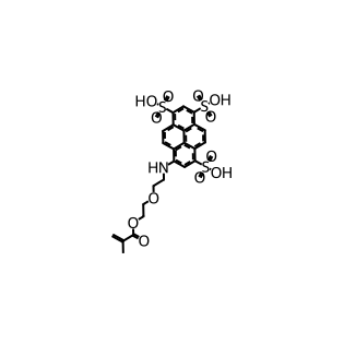 C=C(C)C(=O)OCCOCCNc1cc(S(=O)(=O)O)c2ccc3c(S(=O)(=O)O)cc(S(=O)(=O)O)c4ccc1c2c43